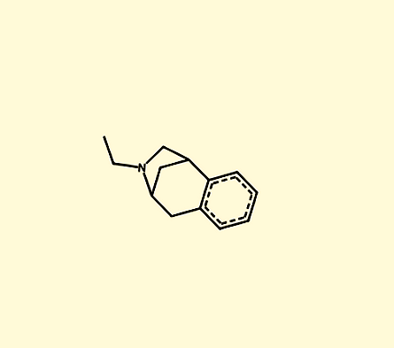 CCN1CC2CC1Cc1ccccc12